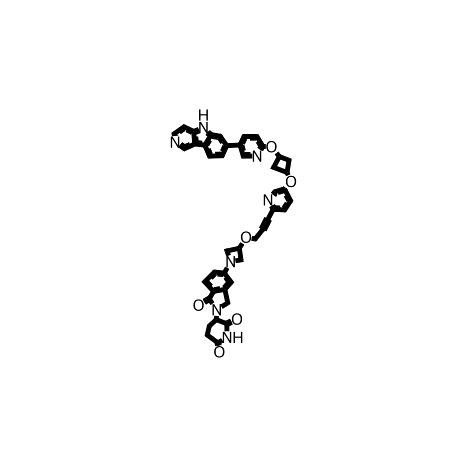 O=C1CCC(N2Cc3cc(N4CC(OCC#Cc5ccc(OC6CC(Oc7ccc(-c8ccc9c(c8)[nH]c8ccncc89)cn7)C6)cn5)C4)ccc3C2=O)C(=O)N1